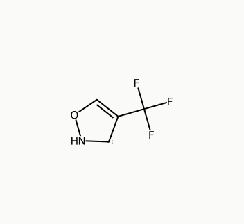 FC(F)(F)C1=CON[C]1